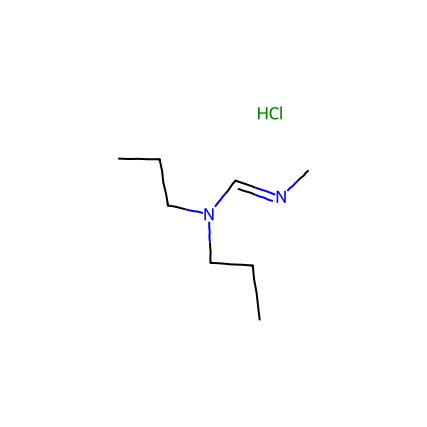 CCCN(C=NC)CCC.Cl